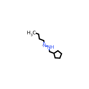 CCCC[N]NCC1CCCC1